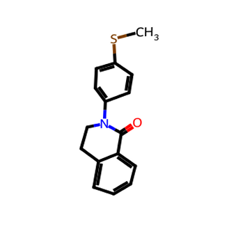 CSc1ccc(N2CCc3ccccc3C2=O)cc1